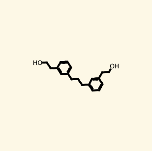 OCCc1cccc(CCCc2cccc(CCO)c2)c1